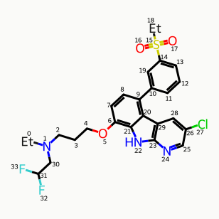 [CH2]CN(CCCOc1ccc(-c2cccc(S(=O)(=O)CC)c2)c2c1[nH]c1ncc(Cl)cc12)CC(F)F